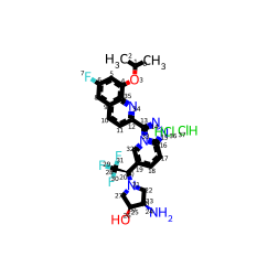 CC(C)Oc1cc(F)cc2ccc(-c3nnc4ccc([C@@H](N5C[C@@H](N)[C@@H](O)C5)C(F)(F)F)cn34)nc12.Cl.Cl